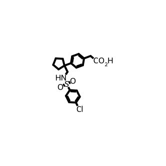 O=C(O)Cc1ccc(C2(CNS(=O)(=O)c3ccc(Cl)cc3)CCCC2)cc1